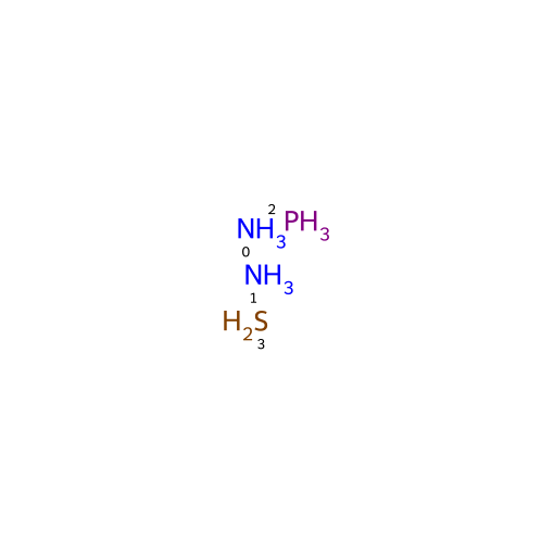 N.N.P.S